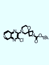 CC(C)(C)OC(=O)N1CC2(C1)CN(c1nc3ccncc3nc1Cl)CCO2